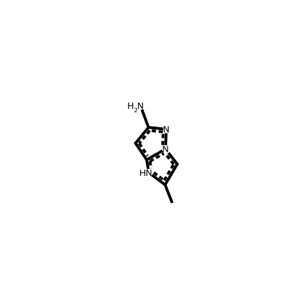 Cc1cn2nc(N)cc2[nH]1